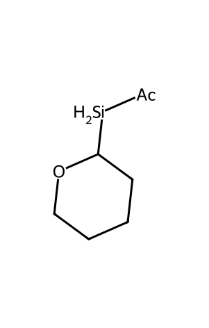 CC(=O)[SiH2]C1CCCCO1